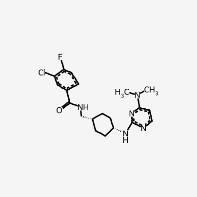 CN(C)c1ccnc(N[C@H]2CC[C@@H](CNC(=O)c3ccc(F)c(Cl)c3)CC2)n1